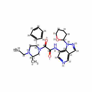 C[C@@H]1CN(C(=O)C(=O)Nc2cncc3cnn(C4CCCCO4)c23)[C@@H](c2ccccc2)CN1CC(C)(C)C